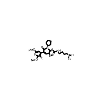 CCN(CC)CCCCNc1nnc2cc(-c3cc(OC)nc(OC)c3Cl)c(=O)n(C3CCCC3)c2n1